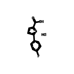 Cl.O=C(O)c1ccc(-c2ccc(F)cc2)s1